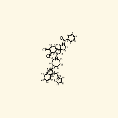 O=C(c1ccccc1)N1CCC(CCN2CCCN(c3nc4ccccc4n3Cc3ccco3)CC2)(c2ccc(Cl)c(Cl)c2)C1